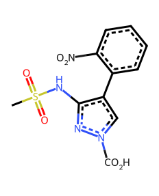 CS(=O)(=O)Nc1nn(C(=O)O)cc1-c1ccccc1[N+](=O)[O-]